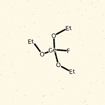 CC[O][Ge]([F])([O]CC)[O]CC